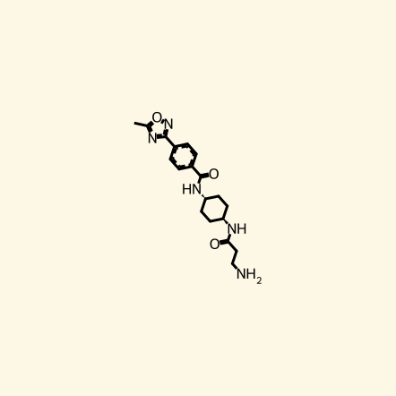 Cc1nc(-c2ccc(C(=O)N[C@H]3CC[C@H](NC(=O)CCN)CC3)cc2)no1